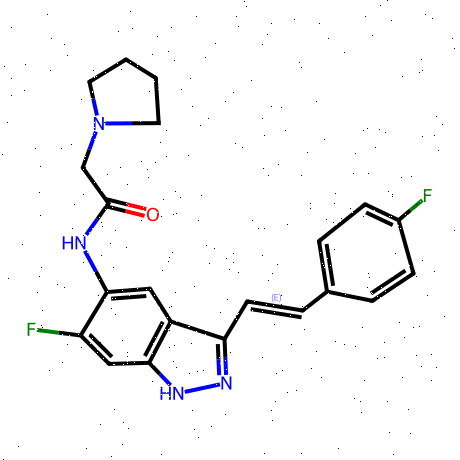 O=C(CN1CCCC1)Nc1cc2c(/C=C/c3ccc(F)cc3)n[nH]c2cc1F